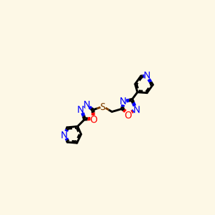 c1cncc(-c2nnc(SCc3nc(-c4ccncc4)no3)o2)c1